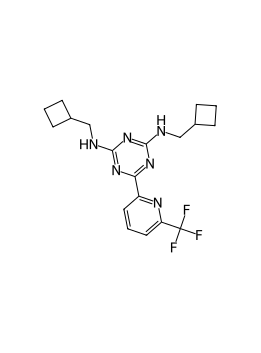 FC(F)(F)c1cccc(-c2nc(NCC3CCC3)nc(NCC3CCC3)n2)n1